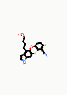 N#Cc1cc(Oc2c(F)cc3[nH]ccc3c2CCCCO)ccc1F